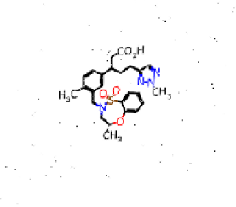 Cc1ccc(C(CCc2cnn(C)n2)CC(=O)O)cc1CN1C[C@@H](C)Oc2ccccc2S1(=O)=O